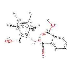 COC(=O)c1ccccc1C(=O)OC[C@@H]1[C@@H](CO)[C@H]2C[C@@H]1C(C)=C2C